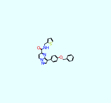 O=C(NCc1cccs1)c1ccn2ncc(-c3ccc(OCc4ccccc4)cc3)c2n1